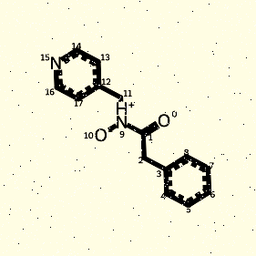 O=C(Cc1ccccc1)[NH+]([O-])Cc1ccncc1